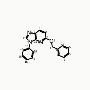 c1ccc(COc2ccc3ncn(-c4ccccc4)c3n2)cc1